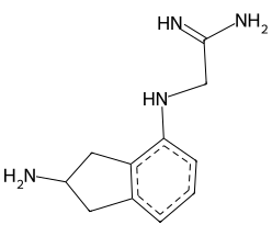 N=C(N)CNc1cccc2c1CC(N)C2